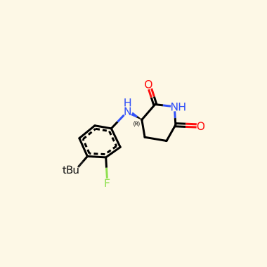 CC(C)(C)c1ccc(N[C@@H]2CCC(=O)NC2=O)cc1F